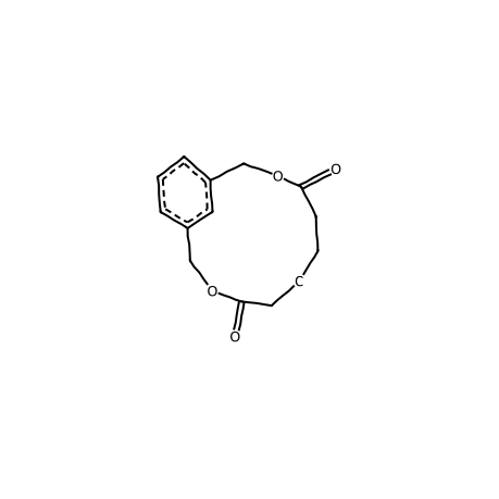 O=C1CCCCC(=O)OCc2cccc(c2)CO1